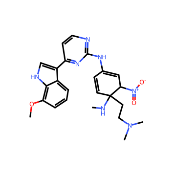 CNC1(CCN(C)C)C=CC(Nc2nccc(-c3c[nH]c4c(OC)cccc34)n2)=CC1[N+](=O)[O-]